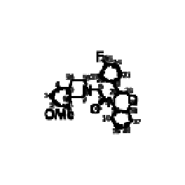 COc1cccc2c1CN(CC(=O)N1c3ccccc3OCC1c1ccc(F)cc1)CC2